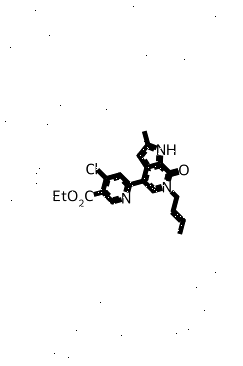 C/C=C/Cn1cc(-c2cc(Cl)c(C(=O)OCC)cn2)c2cc(C)[nH]c2c1=O